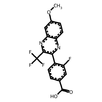 COc1ccc2nc(-c3ccc(C(=O)O)cc3F)c(C(F)(F)F)nc2c1